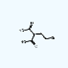 O=C(O)C(CCBr)C(=O)O